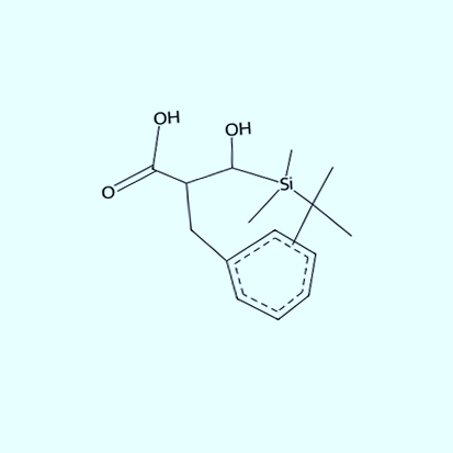 CC(C)(C)[Si](C)(C)C(O)C(Cc1ccccc1)C(=O)O